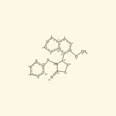 COc1ccc2ccccc2c1C1SCC(=O)N1Cc1ccccc1